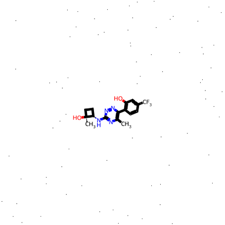 Cc1nc(N[C@H]2CC[C@]2(C)O)nnc1-c1ccc(C(F)(F)F)cc1O